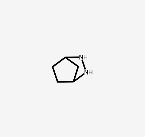 C1CC2CC1NN2